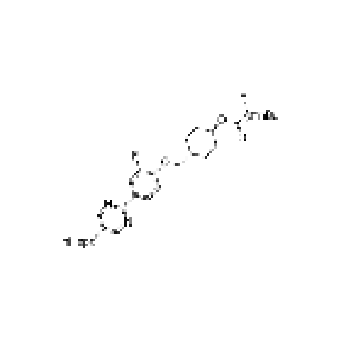 CCCCCCCc1cnc(-c2ccc(OC[C@H]3CC[C@H](OC(=O)[C@@H](F)CCCC)CC3)c(F)c2)nc1